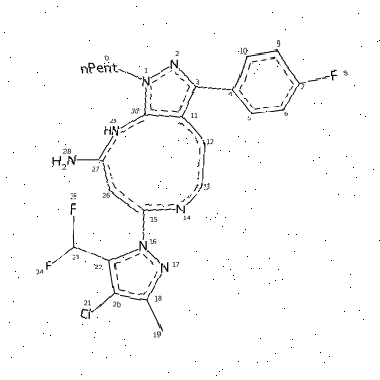 CCCCCn1nc(-c2ccc(F)cc2)c2ccnc(-n3nc(C)c(Cl)c3C(F)F)cc(N)[nH]c21